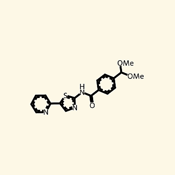 COC(OC)c1ccc(C(=O)Nc2ncc(-c3ccccn3)s2)cc1